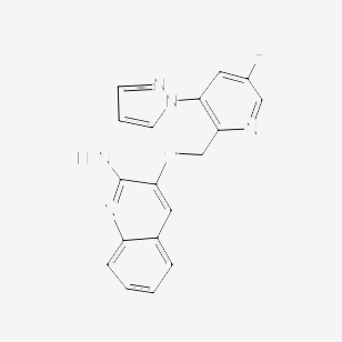 Nc1nc2ccccc2cc1OCc1ncc(F)cc1-n1cccn1